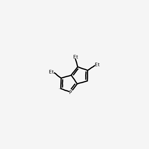 CCC1=[C]P=C2C=C(CC)C(CC)=C12